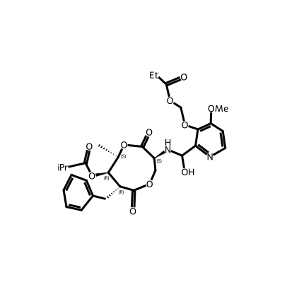 CCC(=O)OCOc1c(OC)ccnc1C(O)N[C@H]1COC(=O)[C@H](Cc2ccccc2)[C@@H](OC(=O)C(C)C)[C@H](C)OC1=O